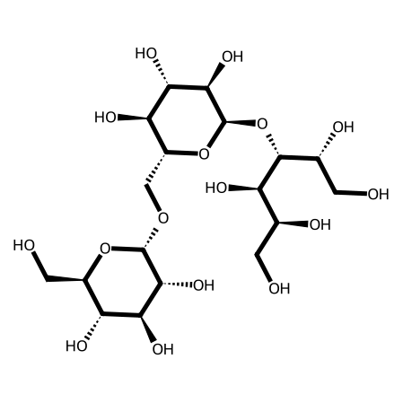 OC[C@@H](O)[C@@H](O[C@H]1O[C@H](CO[C@H]2O[C@H](CO)[C@@H](O)[C@H](O)[C@H]2O)[C@@H](O)[C@H](O)[C@H]1O)[C@H](O)[C@@H](O)CO